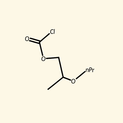 CCCOC(C)COC(=O)Cl